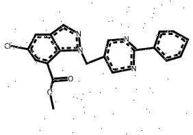 COC(=O)c1cc(Cl)cc2cnn(Cc3cnc(-c4ccccc4)nc3)c12